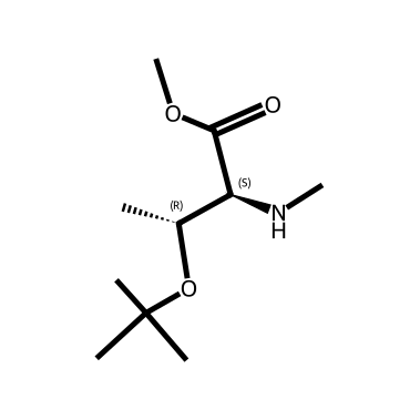 CN[C@H](C(=O)OC)[C@@H](C)OC(C)(C)C